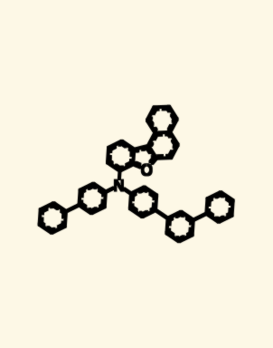 c1ccc(-c2ccc(N(c3ccc(-c4cccc(-c5ccccc5)c4)cc3)c3cccc4c3oc3ccc5ccccc5c34)cc2)cc1